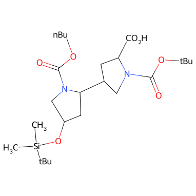 CCCCOC(=O)N1CC(O[Si](C)(C)C(C)(C)C)CC1C1CC(C(=O)O)N(C(=O)OC(C)(C)C)C1